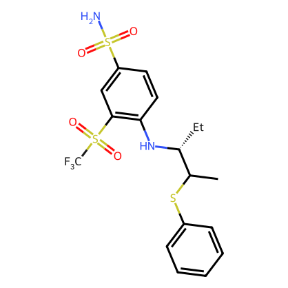 CC[C@@H](Nc1ccc(S(N)(=O)=O)cc1S(=O)(=O)C(F)(F)F)C(C)Sc1ccccc1